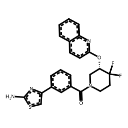 Nc1nc(-c2cccc(C(=O)N3CCC(F)(F)[C@@H](Oc4ccc5ccccc5n4)C3)c2)cs1